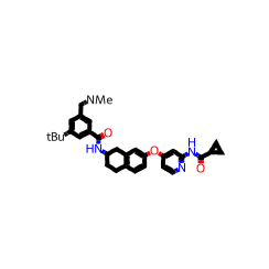 CNCc1cc(C(=O)NC2CCc3ccc(Oc4ccnc(NC(=O)C5CC5)c4)cc3C2)cc(C(C)(C)C)c1